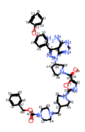 Nc1ncnc2c1c(-c1ccc(Oc3ccccc3)cc1)nn2[C@@H]1CCCN(C(=O)c2cnc(N3CCC(CN4CCN(C(=O)OCc5ccccc5)CC4)CC3)o2)C1